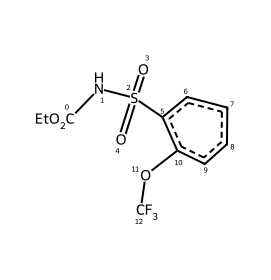 CCOC(=O)NS(=O)(=O)c1ccccc1OC(F)(F)F